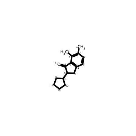 Cc1[c]cc2c(c1C)C(=O)C(C1CCCC1)C2